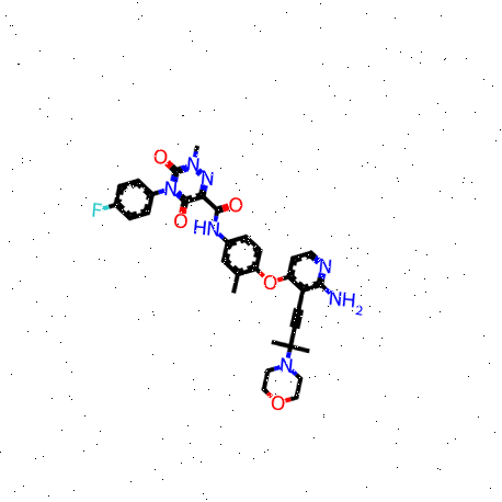 Cc1cc(NC(=O)c2nn(C)c(=O)n(-c3ccc(F)cc3)c2=O)ccc1Oc1ccnc(N)c1C#CC(C)(C)N1CCOCC1